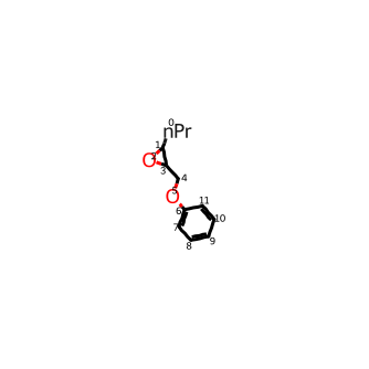 CCCC1OC1COc1ccccc1